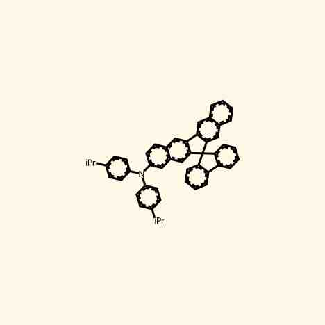 CC(C)c1ccc(N(c2ccc(C(C)C)cc2)c2ccc3cc4c(cc3c2)C2(c3ccccc3-c3ccccc32)c2cc3ccccc3cc2-4)cc1